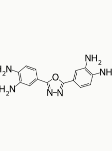 Nc1ccc(-c2nnc(-c3ccc(N)c(N)c3)o2)cc1N